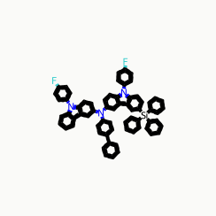 Fc1ccc(-n2c3ccccc3c3cc(N(c4ccc(-c5ccccc5)cc4)c4ccc5c(c4)c4cc([Si](c6ccccc6)(c6ccccc6)c6ccccc6)ccc4n5-c4ccc(F)cc4)ccc32)cc1